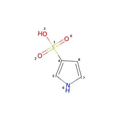 O=S(=O)(O)c1[c][nH][c]c1